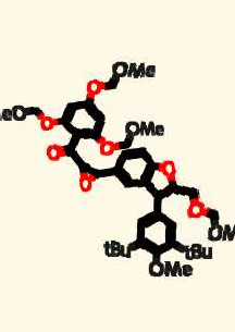 COCOCC1Oc2ccc(C3OC3C(=O)c3c(OCOC)cc(OCOC)cc3OCOC)cc2C1c1cc(C(C)(C)C)c(OC)c(C(C)(C)C)c1